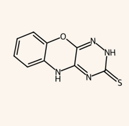 S=c1nc2c(n[nH]1)Oc1ccccc1N2